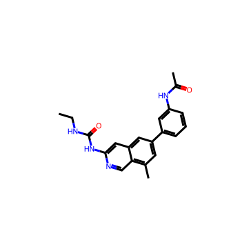 CCNC(=O)Nc1cc2cc(-c3cccc(NC(C)=O)c3)cc(C)c2cn1